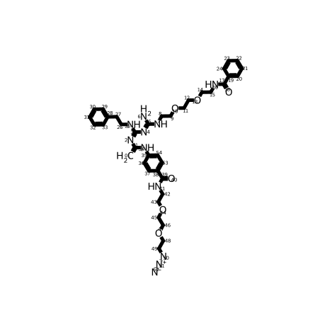 C=C(/N=C(\N=C(/N)NCCOCCOCCNC(=O)c1ccccc1)NCCc1ccccc1)Nc1ccc(C(=O)NCCOCCOCCN=[N+]=[N-])cc1